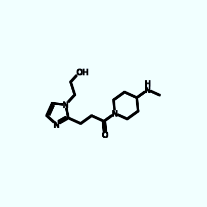 CNC1CCN(C(=O)CCc2nccn2CCO)CC1